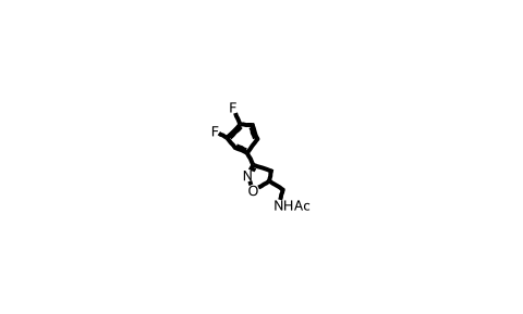 CC(=O)NCC1CC(c2ccc(F)c(F)c2)=NO1